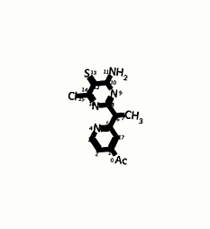 CC(=O)c1ccnc(C(C)C2=NC(N)C(=S)C(Cl)=N2)c1